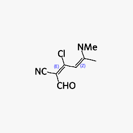 CN/C(C)=C\C(Cl)=C(\C#N)C=O